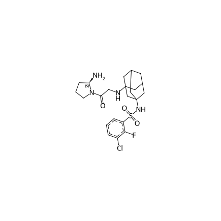 N[C@@H]1CCCN1C(=O)CNC12CC3CC(C1)CC(NS(=O)(=O)c1cccc(Cl)c1F)(C3)C2